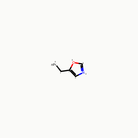 CCCCc1cn[c]o1